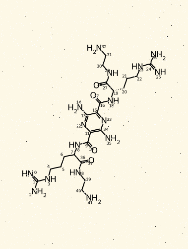 N=C(N)NCCCC(NC(=O)c1nc(N)c(C(=O)N[C@@H](CCCNC(=N)N)C(=O)NCCN)nc1N)C(=O)NCCN